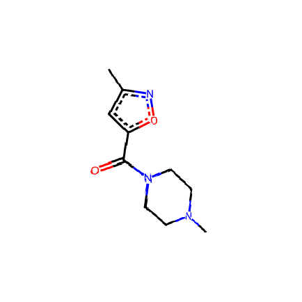 Cc1cc(C(=O)N2CCN(C)CC2)on1